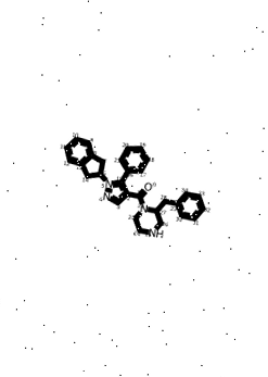 O=C(c1cnn(C2Cc3ccccc3C2)c1-c1ccccc1)N1CCNCC1Cc1ccccc1